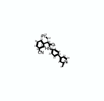 Cc1cc(-c2ccc(NC(=O)[C@@H](CC(C)C)c3cccc(C#N)c3)cc2)ccn1